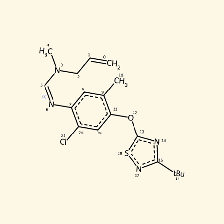 C=CCN(C)/C=N\c1cc(C)c(Oc2nc(C(C)(C)C)ns2)cc1Cl